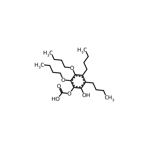 CCCCOc1c(CCCC)c(CCCC)c(O)c(OC(=O)O)c1OCCCC